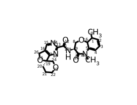 CC1C=CC=C2C1OC[C@H](NC(=O)c1ncc3c(n1)[C@]1(CCCOC1)OC3)C(=O)N2C